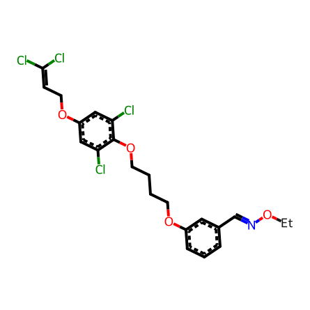 CCON=Cc1cccc(OCCCCOc2c(Cl)cc(OCC=C(Cl)Cl)cc2Cl)c1